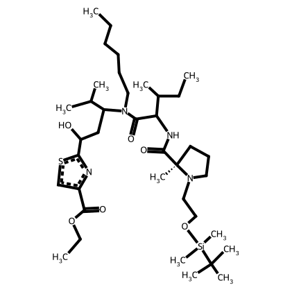 CCCCCCN(C(=O)C(NC(=O)[C@@]1(C)CCCN1CCO[Si](C)(C)C(C)(C)C)C(C)CC)C(CC(O)c1nc(C(=O)OCC)cs1)C(C)C